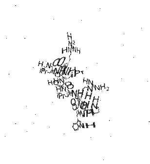 CC(C)C[C@H](NC(=O)[C@H](CCCNC(=N)N)NC(=O)[C@H](CC(C)C)NC(=O)[C@H](CO)NC(=O)[C@H](CC(C)C)NC(=O)[C@H](CCCNC(=N)N)NC(=O)[C@H](Cc1c[nH]c2ccccc12)NC(=O)[C@@H]1CCCN1)C(N)=O